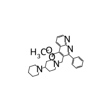 COC(=O)c1c(CN2CCC(N3CCCCC3)CC2)c(-c2ccccc2)nc2ncccc12